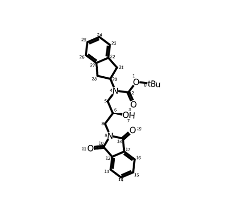 CC(C)(C)OC(=O)N(C[C@@H](O)CN1C(=O)c2ccccc2C1=O)C1Cc2ccccc2C1